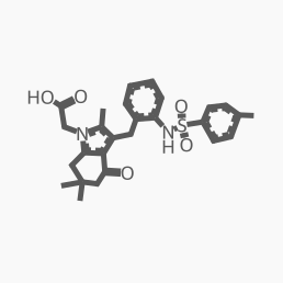 Cc1ccc(S(=O)(=O)Nc2ccccc2Cc2c3c(n(CC(=O)O)c2C)CC(C)(C)CC3=O)cc1